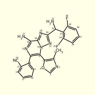 Cc1ncoc1-c1c(-c2ccccc2C#N)nc(N)c2nc(C(N)c3c(F)cccc3F)nn12